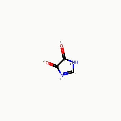 O=C1N=CNC1=O